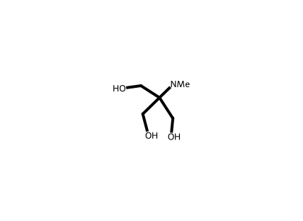 CNC(CO)(CO)CO